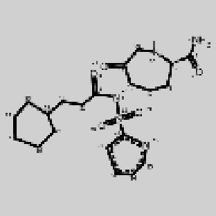 NC(=O)[C@H]1CC[C@H](N(C(=O)[CH]CC2CCCCC2)S(=O)(=O)c2ccccn2)C(=O)CN1